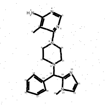 Cc1c(N)ncnc1N1CCN(C(c2ccccc2)c2nccn2C)CC1